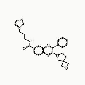 O=C(NCCCn1ccnc1)c1ccc2nc(N3CCC4(COC4)C3)c(-c3ccccc3)nc2c1